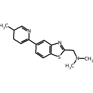 CC1C=NC(c2ccc3sc(CN(C)C)nc3c2)=CC1